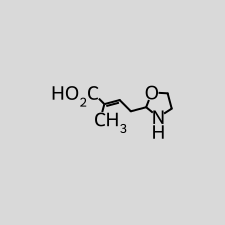 CC(=CCC1NCCO1)C(=O)O